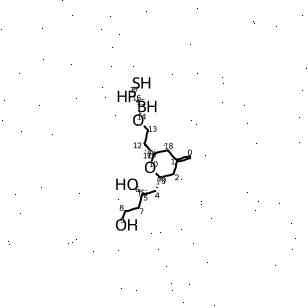 C=C1C[C@H](C[C@@H](O)CCO)O[C@@H](CCOBPS)C1